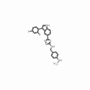 CNc1ccc(CNc2nnc(-c3ccc4[nH]cc(-c5ccc(F)cc5F)c4c3)s2)cc1